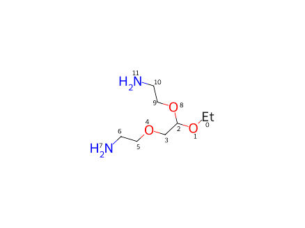 CCOC(COCCN)OCCN